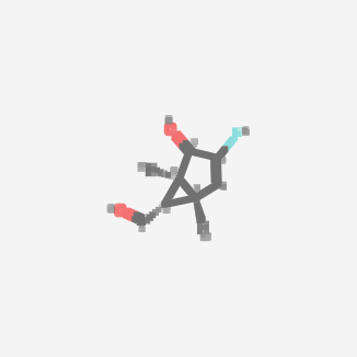 O=[C][C@H]1[C@H]2C=C(F)C(=O)[C@H]12